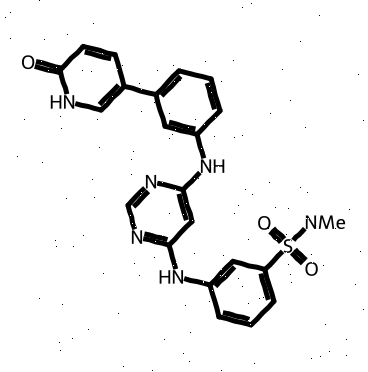 CNS(=O)(=O)c1cccc(Nc2cc(Nc3cccc(-c4ccc(=O)[nH]c4)c3)ncn2)c1